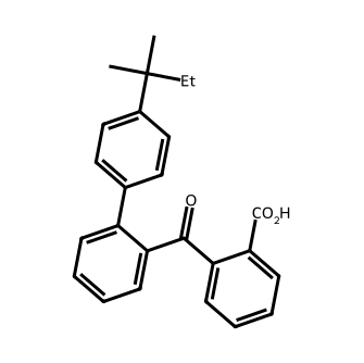 CCC(C)(C)c1ccc(-c2ccccc2C(=O)c2ccccc2C(=O)O)cc1